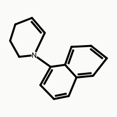 C1=CN(c2cccc3ccccc23)CCC1